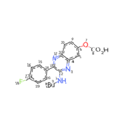 CC(C)(C)Nc1nc2cc(OC(=O)O)ccc2nc1-c1ccc(F)cc1